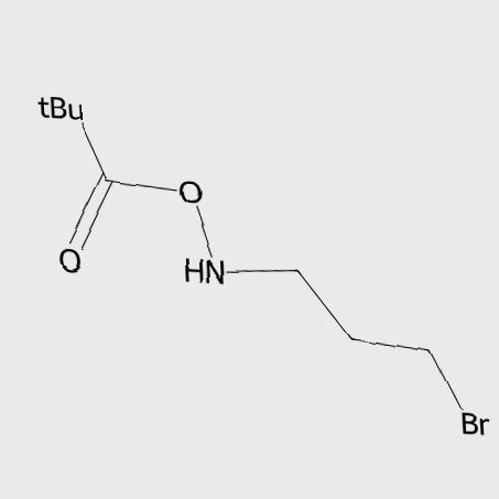 CC(C)(C)C(=O)ONCCCBr